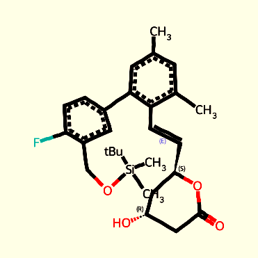 Cc1cc(C)c(/C=C/[C@@H]2C[C@@H](O)CC(=O)O2)c(-c2ccc(F)c(CO[Si](C)(C)C(C)(C)C)c2)c1